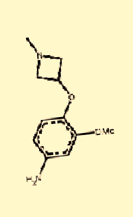 COc1cc(N)ccc1OC1CN(C)C1